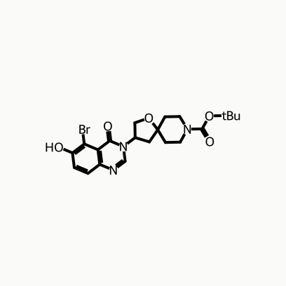 CC(C)(C)OC(=O)N1CCC2(CC1)CC(n1cnc3ccc(O)c(Br)c3c1=O)CO2